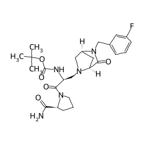 CC(C)(C)OC(=O)N[C@@H](CN1C[C@@H]2C[C@H]1C(=O)N2Cc1cccc(F)c1)C(=O)N1CCC[C@H]1C(N)=O